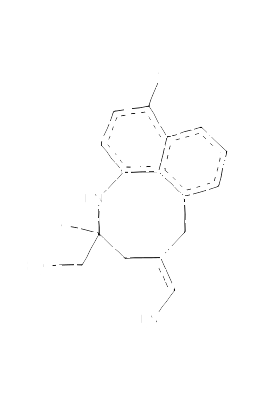 CCC1(C)C/C(=C\N)Cc2cccc3c(Cl)ccc(c23)N1